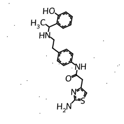 CC(NCCc1ccc(NC(=O)Cc2csc(N)n2)cc1)c1ccccc1O